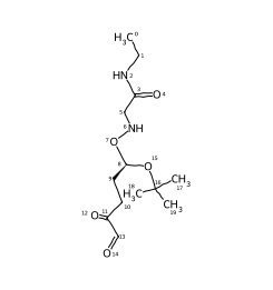 CCNC(=O)CNO[C@H](CCC(=O)C=O)OC(C)(C)C